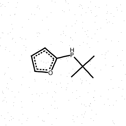 CC(C)(C)Pc1ccco1